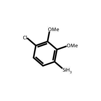 COc1c([SiH3])ccc(Cl)c1OC